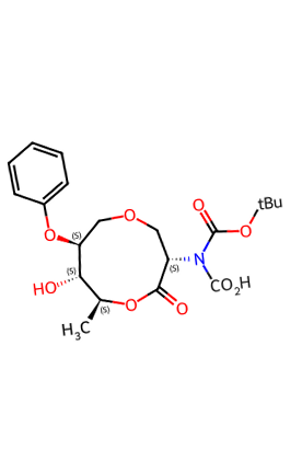 C[C@@H]1OC(=O)[C@@H](N(C(=O)O)C(=O)OC(C)(C)C)COC[C@H](Oc2ccccc2)[C@H]1O